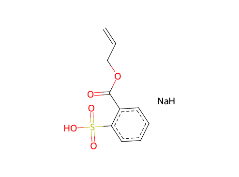 C=CCOC(=O)c1ccccc1S(=O)(=O)O.[NaH]